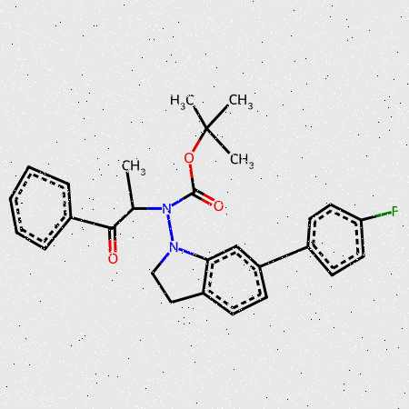 CC(C(=O)c1ccccc1)N(C(=O)OC(C)(C)C)N1CCc2ccc(-c3ccc(F)cc3)cc21